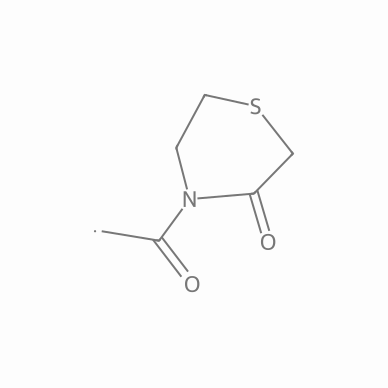 [CH2]C(=O)N1CCSCC1=O